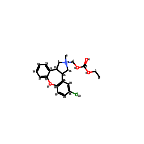 CCOC(=O)OC[N+]1(C)CC2c3ccccc3Oc3ccc(Cl)cc3C2C1